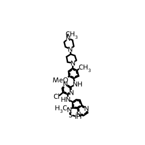 COc1cc(N2CCC(N3CCN(C)CC3)CC2)c(C)cc1Nc1ncc(Cl)c(Nc2ccc3nccnc3c2N(C)SC(C)C)n1